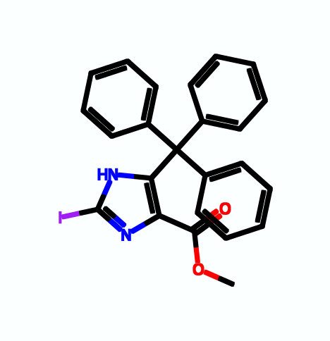 COC(=O)c1nc(I)[nH]c1C(c1ccccc1)(c1ccccc1)c1ccccc1